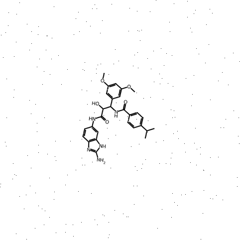 COc1cc(OC)cc(C(NC(=O)c2ccc(C(C)C)cc2)C(O)C(=O)Nc2ccc3nc(N)[nH]c3c2)c1